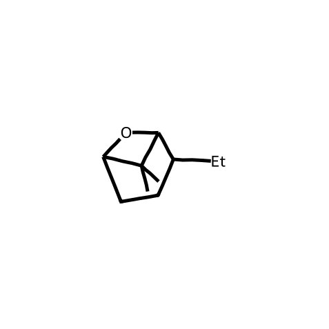 CCC1CCC2OC1C2(C)C